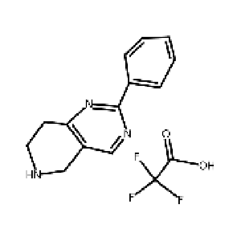 O=C(O)C(F)(F)F.c1ccc(-c2ncc3c(n2)CCNC3)cc1